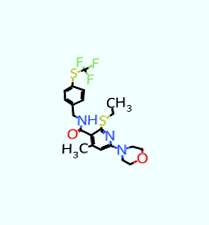 CCSc1nc(N2CCOCC2)cc(C)c1C(=O)NCc1ccc(SC(F)(F)F)cc1